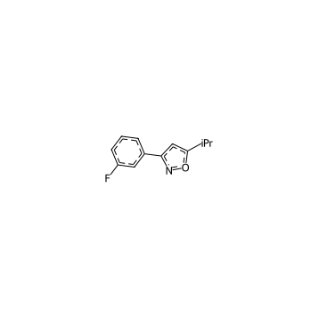 CC(C)c1cc(-c2cccc(F)c2)no1